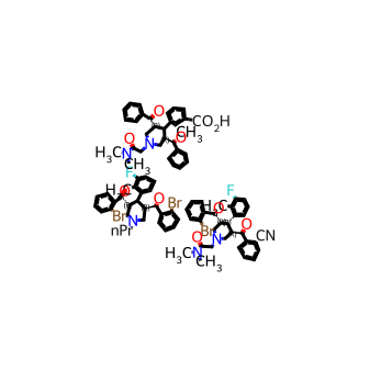 CCCN1C[C@H](C(=O)c2ccccc2Br)C(c2cccc(F)c2C)[C@@H](C(=O)c2ccccc2Br)C1.Cc1c(C(=O)O)cccc1C1[C@@H](C(=O)c2ccccc2)CN(CC(=O)N(C)C)C[C@@H]1C(=O)c1ccccc1.Cc1c(F)cccc1[C@H]1[C@@H](C(=O)c2ccccc2Br)CN(CC(=O)N(C)C)C[C@@H]1C(=O)c1ccccc1C#N